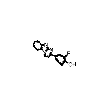 Oc1ccc(-c2ccn3c(n2)nc2ccccc23)cc1F